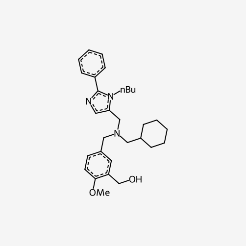 CCCCn1c(CN(Cc2ccc(OC)c(CO)c2)CC2CCCCC2)cnc1-c1ccccc1